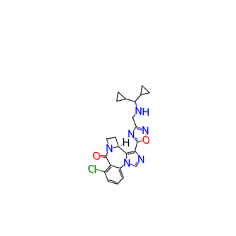 O=C1c2c(Cl)cccc2-n2cnc(-c3nc(CNC(C4CC4)C4CC4)no3)c2[C@@H]2CCN12